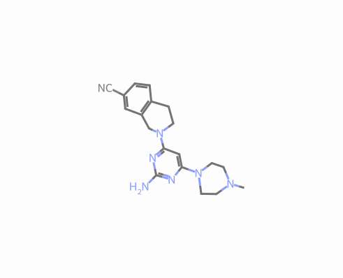 CN1CCN(c2cc(N3CCc4ccc(C#N)cc4C3)nc(N)n2)CC1